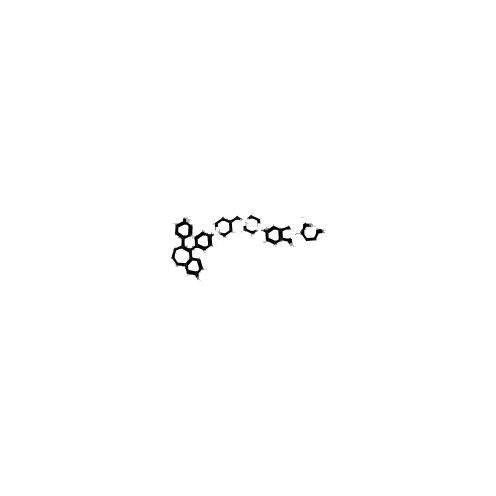 O=C1CC[C@@H](N2Cc3cc(N4CCN(CC5CCN(c6ccc(C7=C(c8ccc(F)cc8)CCCc8cc(O)ccc87)cc6)CC5)CC4)ccc3C2=O)C(=O)N1